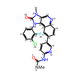 CNC(=O)Nc1ccc(-c2ccc3ncc4c(c3c2)n(-c2cccc(Cl)c2F)c(=O)n4C)cn1